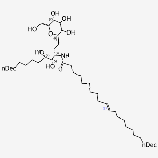 CCCCCCCCCCCCCCCCC/C=C/CCCCCCCCC(=O)N[C@@H](CC[C@H]1OC(CO)[C@H](O)C(O)C1O)[C@H](O)[C@H](O)CCCCCCCCCCCCCC